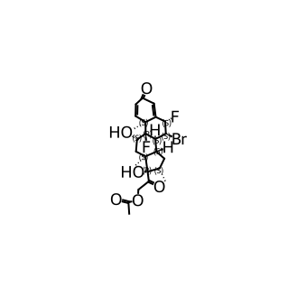 CC(=O)OCC(=O)[C@@]1(O)[C@@H](C)C[C@H]2[C@@H]3[C@H](Br)[C@@H](F)C4=CC(=O)C=C[C@]4(C)[C@@]3(F)[C@@H](O)C[C@@]21C